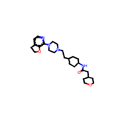 O=C(CC1CCOCC1)NC1CCC(CCN2CCN(c3nccc4c3OCC4)CC2)CC1